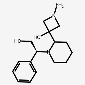 OC[C@H](c1ccccc1)N1CCCCC1C1(O)CN(P)C1